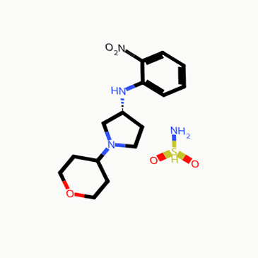 N[SH](=O)=O.O=[N+]([O-])c1ccccc1N[C@@H]1CCN(C2CCOCC2)C1